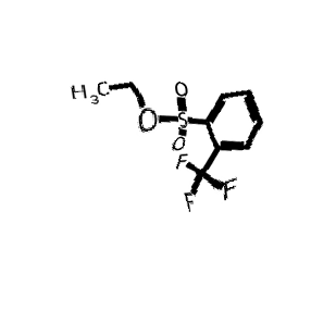 CCOS(=O)(=O)c1ccccc1C(F)(F)F